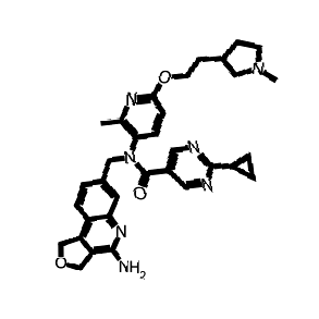 Cc1nc(OCCC2CCN(C)C2)ccc1N(Cc1ccc2c3c(c(N)nc2c1)COC3)C(=O)c1cnc(C2CC2)nc1